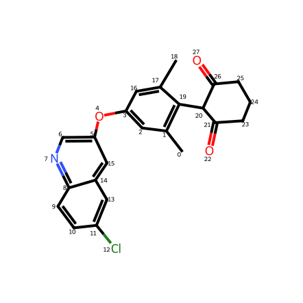 Cc1cc(Oc2cnc3ccc(Cl)cc3c2)cc(C)c1C1C(=O)CCCC1=O